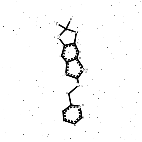 FC1(F)Oc2cc3nc(SCc4ccccn4)[nH]c3cc2O1